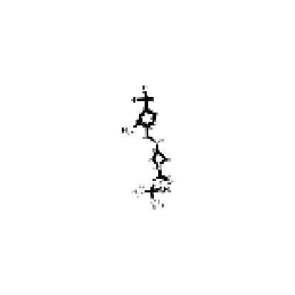 Cc1cc(C(F)(F)F)ccc1COC1CN(C(=O)OC(C)(C)C)C1